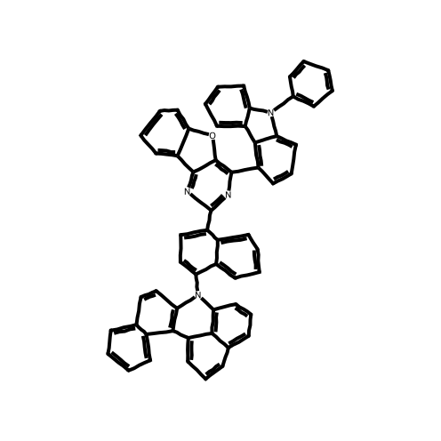 c1ccc(-n2c3ccccc3c3c(-c4nc(-c5ccc(N6c7ccc8ccccc8c7-c7cccc8cccc6c78)c6ccccc56)nc5c4oc4ccccc45)cccc32)cc1